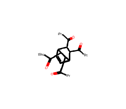 CC(C)C(=O)C1C2C=CC(C1C(=O)C(C)C)C(C(=O)C(C)(C)C)C2C(=O)C(C)C